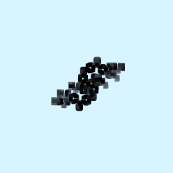 Cc1ccc(C(=O)c2ccc(Oc3ccc4c(c3)C3(CC4(C)C)CC(C)(C)c4ccc(Oc5ccc(C(=O)c6ccc(C)c(S(=O)(=O)O)c6)cc5)cc43)cc2)cc1S(=O)(=O)O